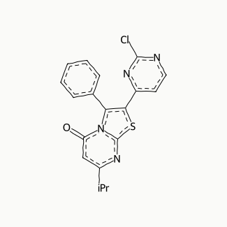 CC(C)c1cc(=O)n2c(-c3ccccc3)c(-c3ccnc(Cl)n3)sc2n1